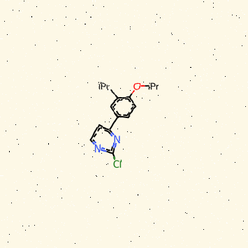 CC(C)Oc1ccc(-c2ccnc(Cl)n2)cc1C(C)C